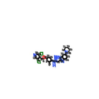 Cc1cc(O[C@H](C)c2c(Cl)cncc2Cl)ccc1NNCc1nc2ccc(N3CCCCC3)cc2[nH]1